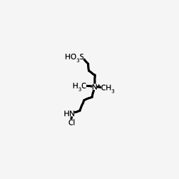 C[N+](C)(CCCNCl)CCCS(=O)(=O)O